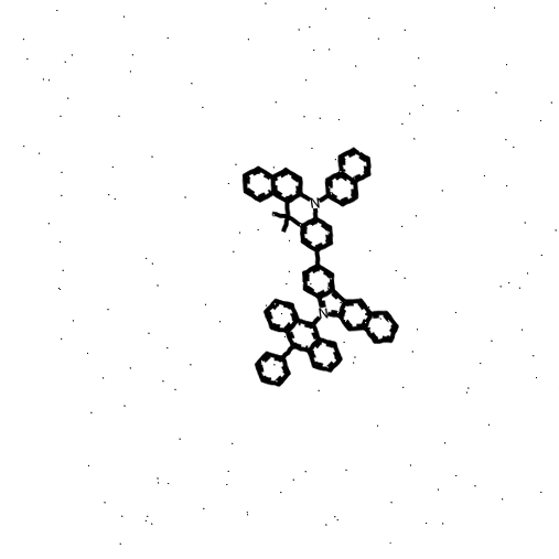 CC1(C)c2cc(-c3ccc4c(c3)c3cc5ccccc5cc3n4-c3c4ccccc4c(-c4ccccc4)c4ccccc34)ccc2N(c2ccc3ccccc3c2)c2ccc3ccccc3c21